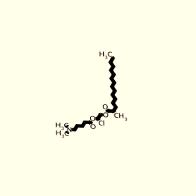 CCCCCCCCCCCCCCC(C)C(=O)OCC(Cl)OC(=O)CCCCN(C)C